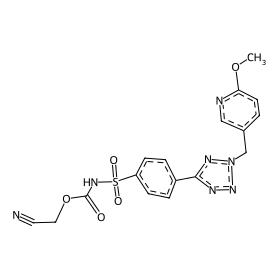 COc1ccc(Cn2nnc(-c3ccc(S(=O)(=O)NC(=O)OCC#N)cc3)n2)cn1